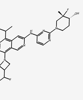 CC(C)c1cnc(N2CC(C(F)F)C2)c2cnc(Nc3ccnc(N4CC[C@@H](O)[C@@](C)(F)C4)n3)cc12